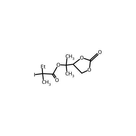 CCC(C)(I)C(=O)OC(C)(C)C1COC(=O)O1